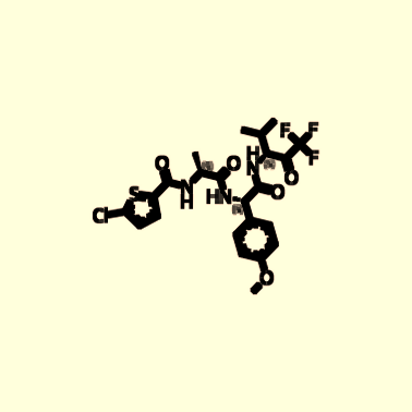 COc1ccc([C@H](NC(=O)[C@H](C)NC(=O)c2ccc(Cl)s2)C(=O)N[C@H](C(=O)C(F)(F)F)C(C)C)cc1